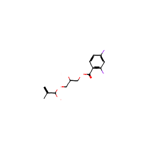 C=C(C)C(O)OCC(O)COC(=O)c1ccc(I)cc1I